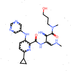 CN/C=C(/NC(=O)c1nc(C2CC2)ccc1Nc1cncnc1)C(=N)C(=O)N(C)CCCO